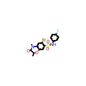 CC1Oc2cc(S(=O)(=O)Nc3ccc(F)cc3)c(Br)cc2N(C)C1=O